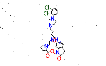 NCCN1CCCC1C(=O)OCN1C(=O)CCc2ccc(OCCCCN3CCN(c4cccc(Cl)c4Cl)CC3)cc21